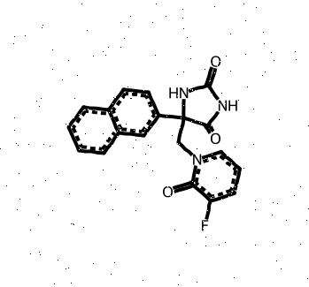 O=C1NC(=O)C(Cn2cccc(F)c2=O)(c2ccc3ccccc3c2)N1